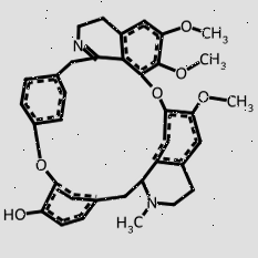 COc1cc2c3cc1Oc1c(OC)c(OC)cc4c1C(=NCC4)Cc1ccc(cc1)Oc1cc(ccc1O)CC3N(C)CC2